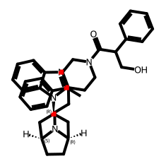 Cc1nc2ccccc2n1[C@H]1C[C@H]2CC[C@@H](C1)N2CCC1(c2ccccc2)CCN(C(=O)C(CO)c2ccccc2)CC1